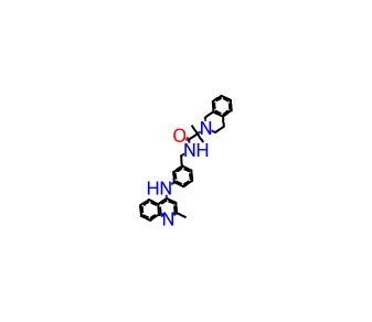 Cc1cc(Nc2cccc(CNC(=O)C(C)(C)N3CCc4ccccc4C3)c2)c2ccccc2n1